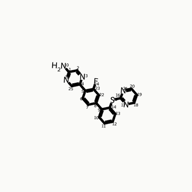 Nc1cnc(-c2ccc(-c3ccccc3Sc3ncccn3)cc2F)cn1